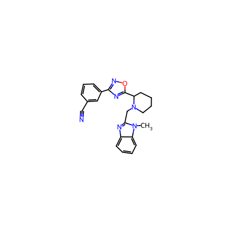 Cn1c(CN2CCCCC2c2nc(-c3cccc(C#N)c3)no2)nc2ccccc21